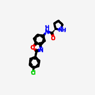 O=C(Nc1ccc2oc(-c3ccc(Cl)cc3)nc2c1)[C@@H]1CCCN1